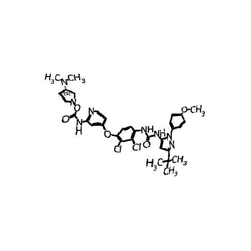 COc1ccc(-n2nc(C(C)(C)C)cc2NC(=O)Nc2ccc(Oc3ccnc(NC(=O)ON4CC[C@H](N(C)C)C4)c3)c(Cl)c2Cl)cc1